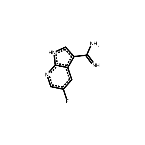 N=C(N)c1c[nH]c2ncc(F)cc12